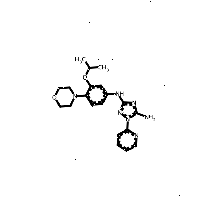 CC(C)Oc1cc(Nc2nc(N)n(-c3ccccn3)n2)ccc1N1CCOCC1